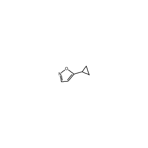 c1cc(C2CC2)on1